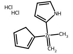 Cl.Cl.[CH2]=[Zr]([CH3])([C]1=CC=CC1)[c]1ccc[nH]1